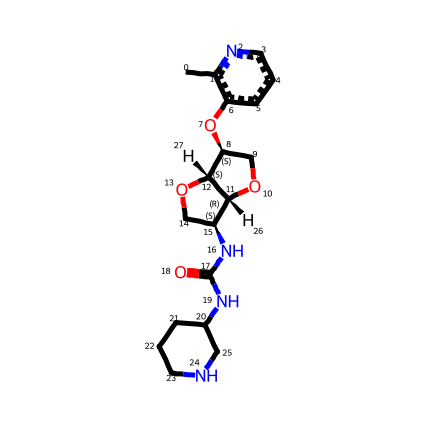 Cc1ncccc1O[C@H]1CO[C@H]2[C@@H]1OC[C@@H]2NC(=O)NC1CCCNC1